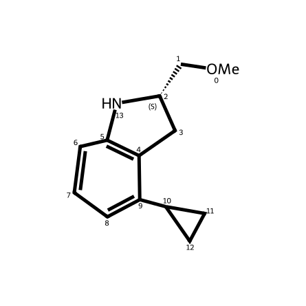 COC[C@@H]1Cc2c(cccc2C2CC2)N1